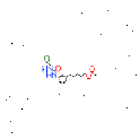 CC(=O)OCCCCCc1cccc(NC(=O)NCCCl)c1